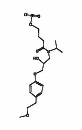 COCCc1ccc(OCC(O)CN(C(=O)CCCO[N+](=O)[O-])C(C)C)cc1